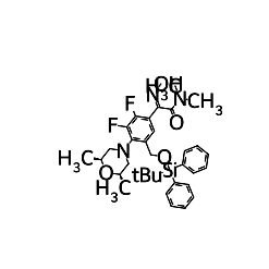 C[C@@H]1CN(c2c(CO[Si](c3ccccc3)(c3ccccc3)C(C)(C)C)cc(C(=NO)C(=O)N(C)C)c(F)c2F)C[C@H](C)O1